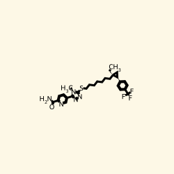 CC[C@]1(CCCCCCCSc2nnc(-c3ccc(C(N)=O)nc3)n2C)C[C@@H]1c1ccc(C(F)(F)F)cc1